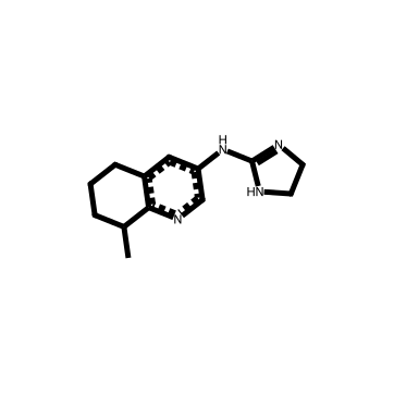 CC1CCCc2cc(NC3=NCCN3)cnc21